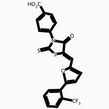 O=C(O)c1ccc(N2C(=O)C(=Cc3ccc(-c4ccccc4C(F)(F)F)o3)SC2=S)cc1